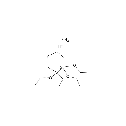 CCOC1(CC)CCCC[Si]1(OCC)OCC.F.[SiH4]